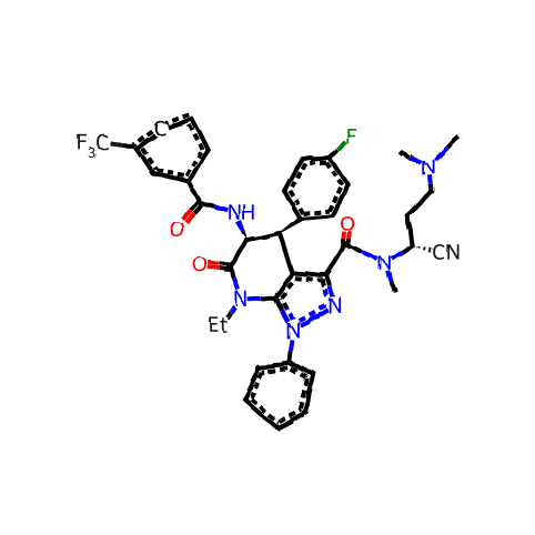 CCN1C(=O)[C@@H](NC(=O)c2cccc(C(F)(F)F)c2)[C@@H](c2ccc(F)cc2)c2c(C(=O)N(C)[C@@H](C#N)CCN(C)C)nn(-c3ccccc3)c21